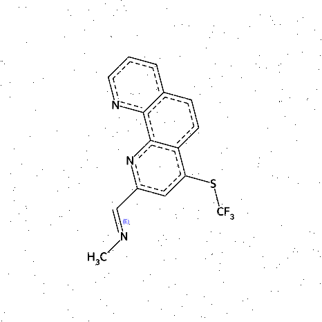 C/N=C/c1cc(SC(F)(F)F)c2ccc3cccnc3c2n1